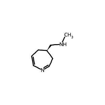 CNC[C@@H]1CC=CN=CC1